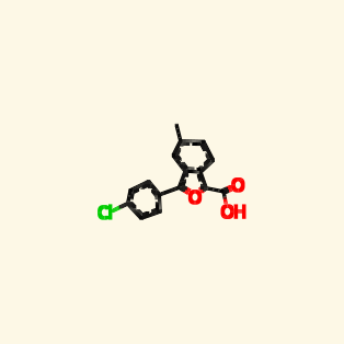 Cc1ccc2c(C(=O)O)oc(-c3ccc(Cl)cc3)c2c1